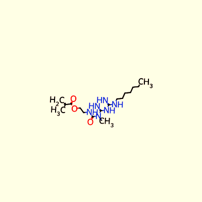 C=C(C)C(=O)OCCNC(=O)N(C)C(=N)NC(=N)NCCCCCCC